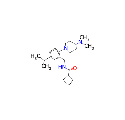 CC(C)c1ccc(N2CCC(N(C)C)CC2)c(CNC(=O)C2CCCC2)c1